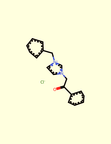 O=C(Cn1cc[n+](Cc2ccccc2)c1)c1ccccc1.[Cl-]